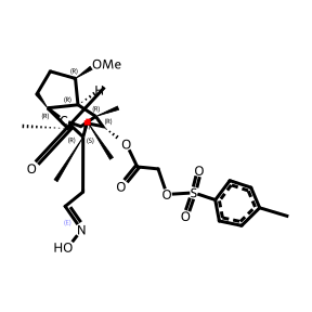 CO[C@@H]1CC[C@]23CC[C@@H](C)[C@](C)([C@H]12)[C@H](OC(=O)COS(=O)(=O)c1ccc(C)cc1)C[C@](C)(C/C=N/O)C(=O)[C@@H]3C